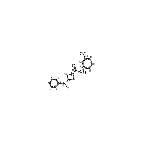 CN(c1ccccc1)C1CN(C(=O)Nc2cccc(Cl)c2)C1